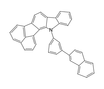 c1cc(-c2ccc3ccccc3c2)cc(-n2c3ccccc3c3ccc4c(c32)-c2cccc3cccc-4c23)c1